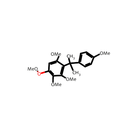 COOc1cc(OC)c(C(C)(C)c2ccc(OC)cc2)c(OC)c1OC